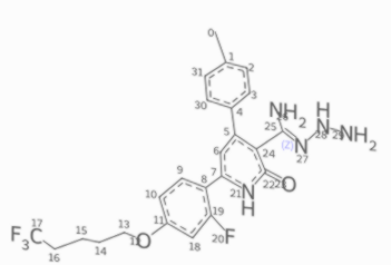 Cc1ccc(-c2cc(-c3ccc(OCCCCC(F)(F)F)cc3F)[nH]c(=O)c2/C(N)=N/NN)cc1